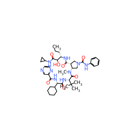 CCC[C@H](NC(=O)[C@@H]1CN(C(=O)Nc2ccccc2)C[C@@H]1N(C)C(=O)[C@@H](NC(=O)[C@@H](NC(=O)c1cnccn1)C1CCCCC1)C(C)(C)C)C(O)C(=O)NC1CC1